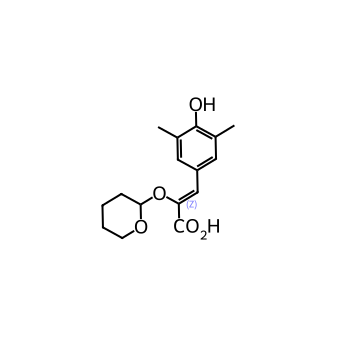 Cc1cc(/C=C(\OC2CCCCO2)C(=O)O)cc(C)c1O